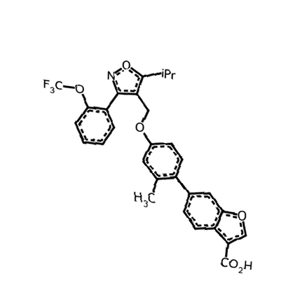 Cc1cc(OCc2c(-c3ccccc3OC(F)(F)F)noc2C(C)C)ccc1-c1ccc2c(C(=O)O)coc2c1